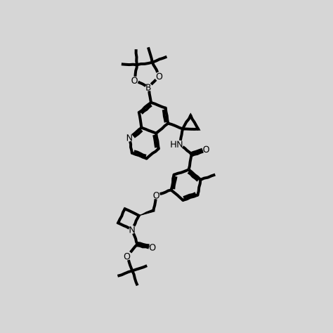 Cc1ccc(OC[C@@H]2CCN2C(=O)OC(C)(C)C)cc1C(=O)NC1(c2cc(B3OC(C)(C)C(C)(C)O3)cc3ncccc23)CC1